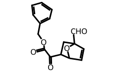 O=CC12C=CC(O1)C(C(=O)C(=O)OCc1ccccc1)C2